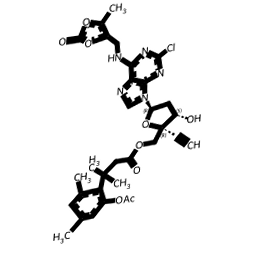 C#C[C@]1(COC(=O)CC(C)(C)c2c(C)cc(C)cc2OC(C)=O)O[C@@H](n2cnc3c(NCc4oc(=O)oc4C)nc(Cl)nc32)C[C@@H]1O